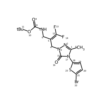 Cc1nn(CC(CNC(=O)OC(C)(C)C)=C(F)F)c(=O)n1-c1ccc(Br)s1